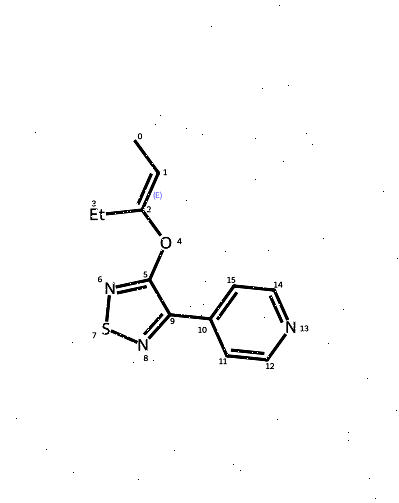 C/C=C(\CC)Oc1nsnc1-c1ccncc1